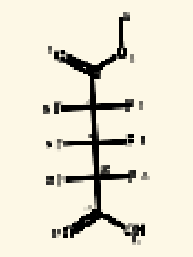 COC(=O)C(F)(F)C(F)(F)C(F)(F)C(=O)O